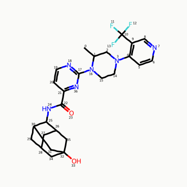 CC1CN(c2ccncc2C(F)(F)F)CCN1c1nccc(C(=O)NC2C3CC4CC2CC(O)(C4)C3)n1